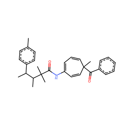 Cc1ccc(C(C)C(C)C(C)(C)C(=O)NC2=CC=CC(C)(C(=O)c3ccccc3)C=C2)cc1